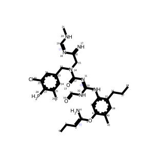 CC/C=C(\N)Oc1cc(N/C(=N/C(=O)N(CC(=N)/N=C\NC)Cc2cc(F)c(P)c(Cl)c2)NC=O)c(CCC)cc1C